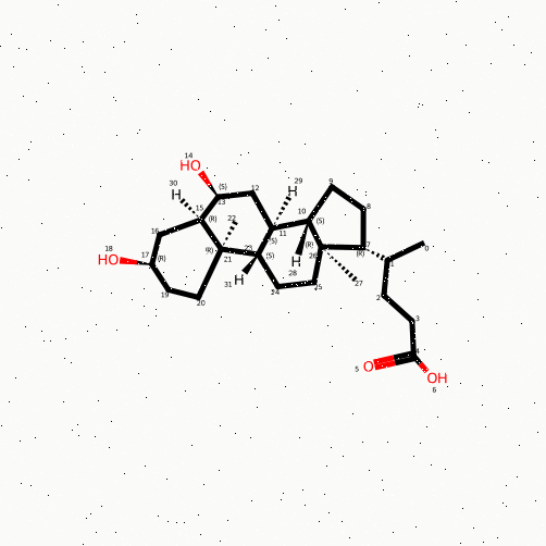 CC(CCC(=O)O)[C@H]1CC[C@H]2[C@@H]3C[C@H](O)[C@@H]4C[C@H](O)CC[C@]4(C)[C@H]3CC[C@]12C